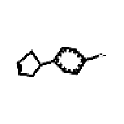 Oc1ccc(C2CC=CC2)cc1